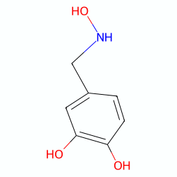 ONCc1ccc(O)c(O)c1